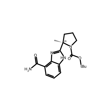 CC(C)(C)OC(=O)N1CCC[C@]1(C)c1nc2c(C(N)=O)cccc2[nH]1